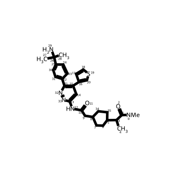 CNC(=O)C(C)C1CCC(CC(=O)Nc2cc(-c3ccsc3)c(-c3ccc(C(C)(C)N)cc3)nn2)CC1